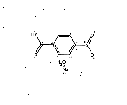 O.O=C(O)c1ccc(S(=O)[O-])cc1.[Na+]